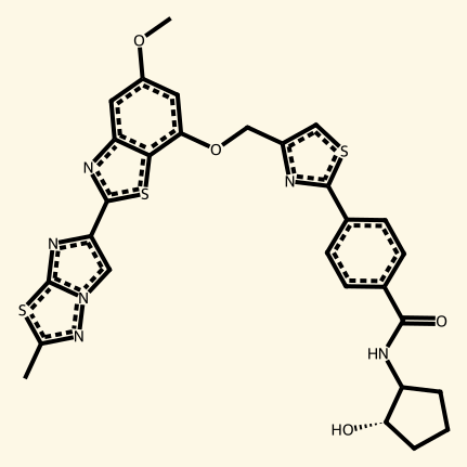 COc1cc(OCc2csc(-c3ccc(C(=O)NC4CCC[C@@H]4O)cc3)n2)c2sc(-c3cn4nc(C)sc4n3)nc2c1